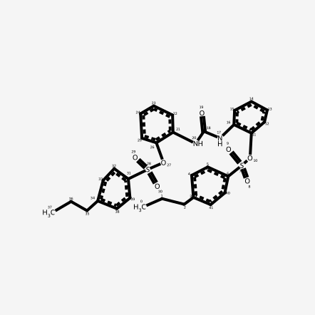 CCCc1ccc(S(=O)(=O)Oc2ccccc2NC(=O)Nc2ccccc2OS(=O)(=O)c2ccc(CCC)cc2)cc1